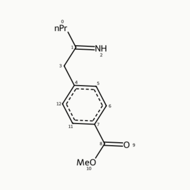 CCCC(=N)Cc1ccc(C(=O)OC)cc1